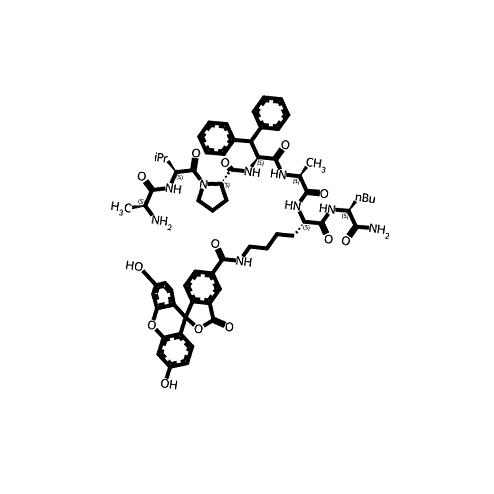 CCCC[C@H](NC(=O)[C@H](CCCCNC(=O)c1ccc2c(c1)C(=O)OC21c2ccc(O)cc2Oc2cc(O)ccc21)NC(=O)[C@H](C)NC(=O)[C@@H](NC(=O)[C@@H]1CCCN1C(=O)[C@@H](NC(=O)[C@H](C)N)C(C)C)C(c1ccccc1)c1ccccc1)C(N)=O